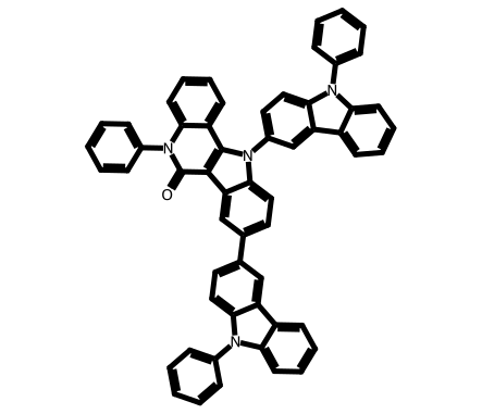 O=c1c2c3cc(-c4ccc5c(c4)c4ccccc4n5-c4ccccc4)ccc3n(-c3ccc4c(c3)c3ccccc3n4-c3ccccc3)c2c2ccccc2n1-c1ccccc1